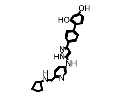 Oc1ccc(-c2ccc(-c3cc(Nc4ccc(CNC5CCCC5)nc4)[nH]n3)cc2)c(O)c1